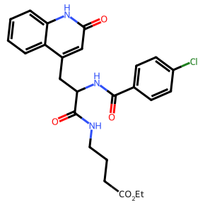 CCOC(=O)CCCNC(=O)C(Cc1cc(=O)[nH]c2ccccc12)NC(=O)c1ccc(Cl)cc1